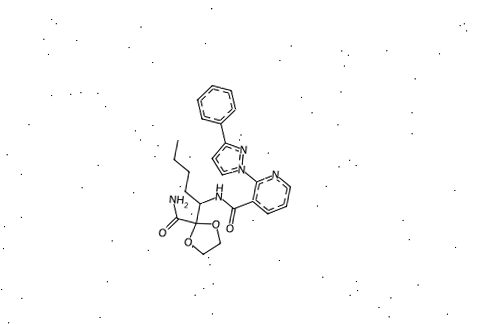 CCCCC(NC(=O)c1cccnc1-n1ccc(-c2ccccc2)n1)C1(C(N)=O)OCCO1